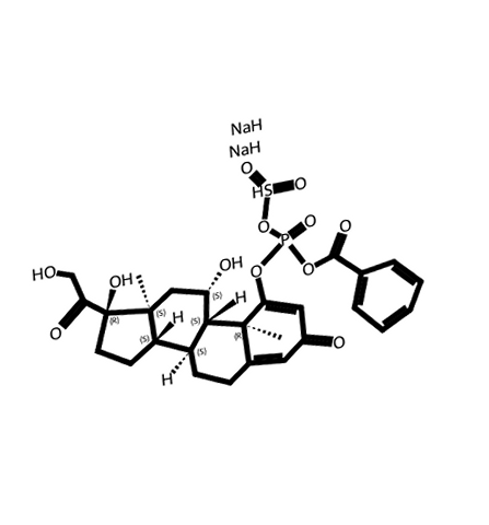 C[C@@]12C(=CC(=O)C=C1OP(=O)(OC(=O)c1ccccc1)O[SH](=O)=O)CC[C@@H]1[C@@H]2[C@@H](O)C[C@@]2(C)[C@H]1CC[C@]2(O)C(=O)CO.[NaH].[NaH]